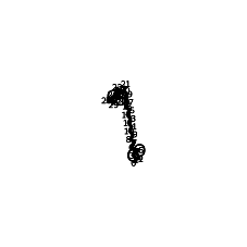 CC(C)OC(=O)CCCCCCCCCCCCCCC(C)C(C)C(=O)OC(C)C